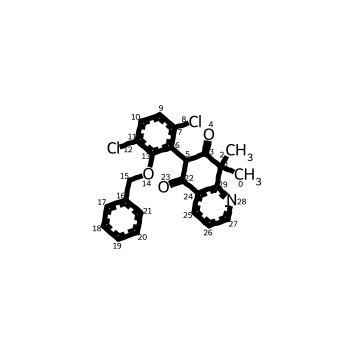 CC1(C)C(=O)C(c2c(Cl)ccc(Cl)c2OCc2ccccc2)C(=O)c2cccnc21